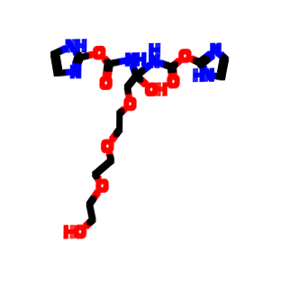 O=C(NC(O)(COCCOCCOCCO)NC(=O)Oc1ncc[nH]1)Oc1ncc[nH]1